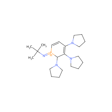 CC(C)(C)N=[PH]1C=CC(N2CCCC2)=C(N2CCCC2)C1N1CCCC1